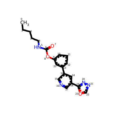 CCCCCNC(=O)Oc1cccc(-c2cncc(-c3nnco3)c2)c1